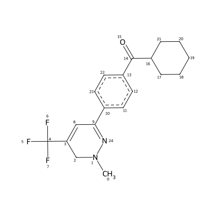 CN1CC(C(F)(F)F)=CC(c2ccc(C(=O)C3CCCCC3)cc2)=N1